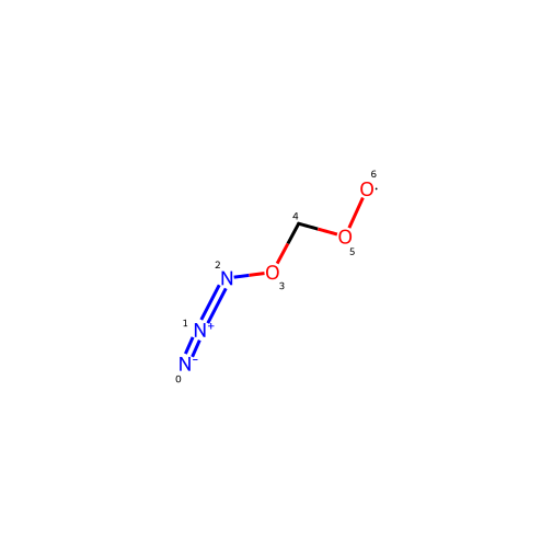 [N-]=[N+]=NOCO[O]